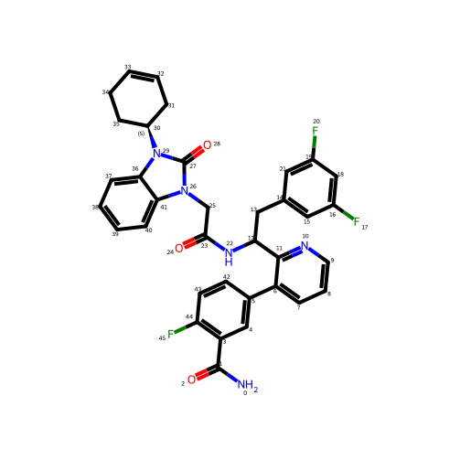 NC(=O)c1cc(-c2cccnc2C(Cc2cc(F)cc(F)c2)NC(=O)Cn2c(=O)n([C@@H]3CC=CCC3)c3ccccc32)ccc1F